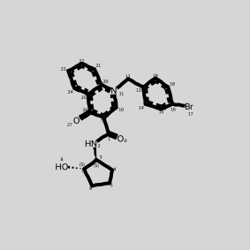 O=C(N[C@H]1CCC[C@@H]1O)c1cn(Cc2ccc(Br)cc2)c2ccccc2c1=O